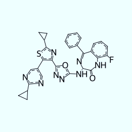 O=C1Nc2c(F)cccc2C(c2ccccc2)=N[C@H]1Nc1nnc(-c2nc(C3CC3)sc2-c2cnc(C3CC3)nc2)o1